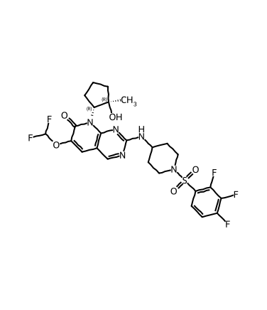 C[C@@]1(O)CCC[C@H]1n1c(=O)c(OC(F)F)cc2cnc(NC3CCN(S(=O)(=O)c4ccc(F)c(F)c4F)CC3)nc21